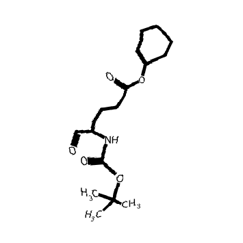 CC(C)(C)OC(=O)NC(C=O)CCC(=O)OC1CCCCC1